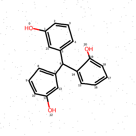 Oc1cccc(C(c2cccc(O)c2)c2ccccc2O)c1